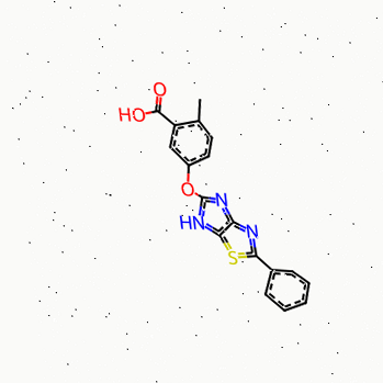 Cc1ccc(Oc2nc3nc(-c4ccccc4)sc3[nH]2)cc1C(=O)O